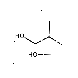 CC(C)CO.CO